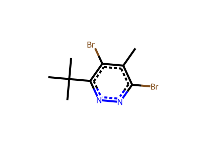 Cc1c(Br)nnc(C(C)(C)C)c1Br